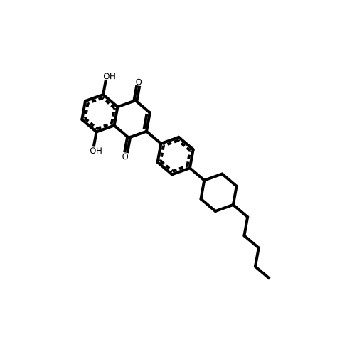 CCCCCC1CCC(c2ccc(C3=CC(=O)c4c(O)ccc(O)c4C3=O)cc2)CC1